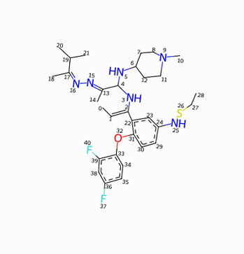 C/C=C(\NC(NC1CCN(C)CC1)/C(C)=N/N=C(/C)C(C)C)c1cc(NSCC)ccc1Oc1ccc(F)cc1F